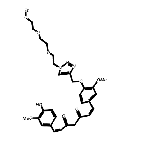 CCOCCOCCOCCn1cc(COc2ccc(/C=C\C(=O)CC(=O)/C=C\c3ccc(O)c(OC)c3)cc2OC)nn1